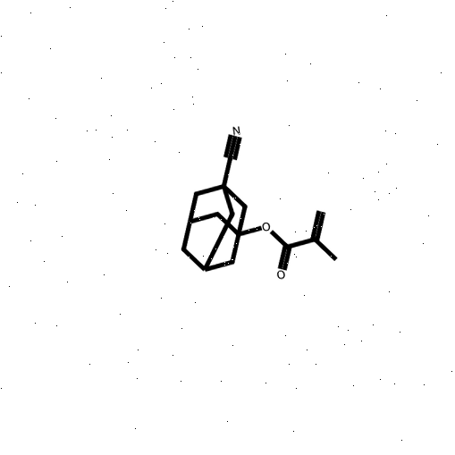 C=C(C)C(=O)OC12CC3CC(CC(C#N)(C3)C1)C2